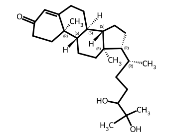 C[C@H](CCC(O)C(C)(C)O)[C@H]1CC[C@H]2[C@@H]3CCC4=CC(=O)CC[C@]4(C)[C@H]3CC[C@]12C